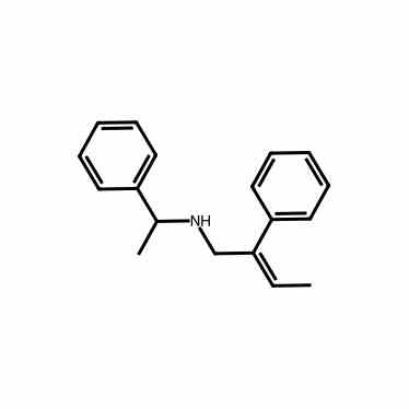 C/C=C(/CNC(C)c1ccccc1)c1ccccc1